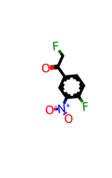 O=C(CF)c1ccc(F)c([N+](=O)[O-])c1